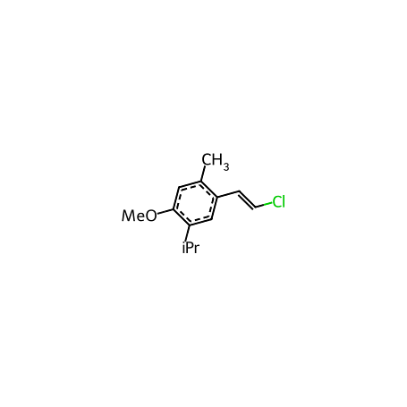 COc1cc(C)c(C=CCl)cc1C(C)C